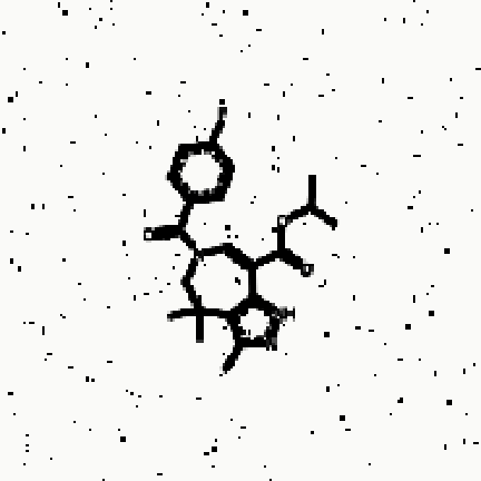 Cc1n[nH]c2c1C(C)(C)CN(C(=O)c1ccc(F)cc1)C=C2C(=O)OC(C)C